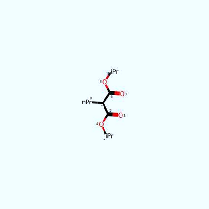 CCCC(C(=O)OC(C)C)C(=O)OC(C)C